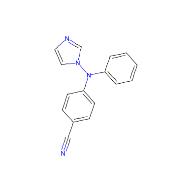 N#Cc1ccc(N(c2ccccc2)n2ccnc2)cc1